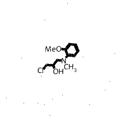 COc1ccccc1N(C)CC(O)CCl